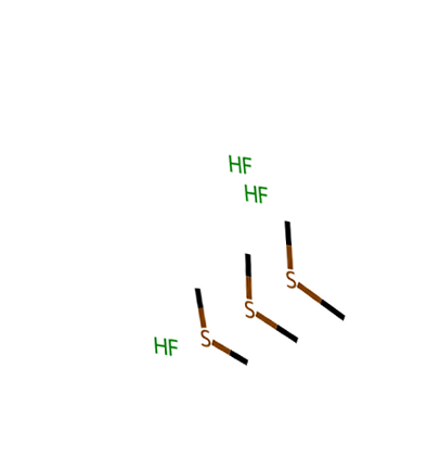 CSC.CSC.CSC.F.F.F